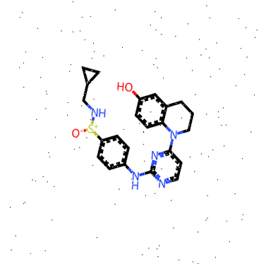 [O-][S+](NCC1CC1)c1ccc(Nc2nccc(N3CCCc4cc(O)ccc43)n2)cc1